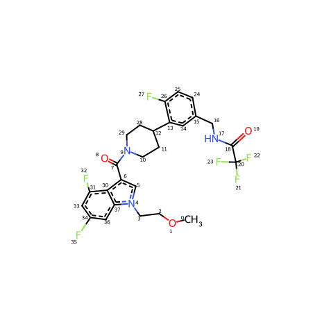 COCCn1cc(C(=O)N2CCC(c3cc(CNC(=O)C(F)(F)F)ccc3F)CC2)c2c(F)cc(F)cc21